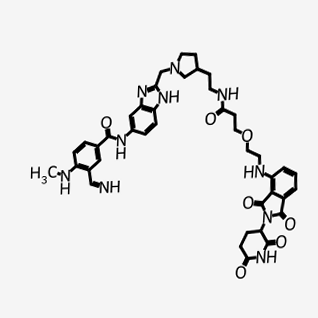 CNc1ccc(C(=O)Nc2ccc3[nH]c(CN4CCC(CCNC(=O)CCOCCNc5cccc6c5C(=O)N(C5CCC(=O)NC5=O)C6=O)C4)nc3c2)cc1C=N